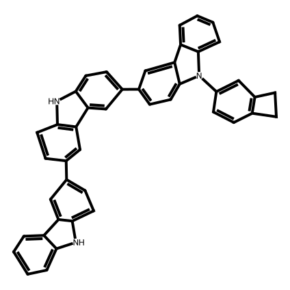 c1ccc2c(c1)[nH]c1ccc(-c3ccc4[nH]c5ccc(-c6ccc7c(c6)c6ccccc6n7-c6ccc7c(c6)CC7)cc5c4c3)cc12